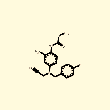 C#CCN(Cc1ccc(F)cc1)c1ccc(NC(=O)OC)c(N)c1